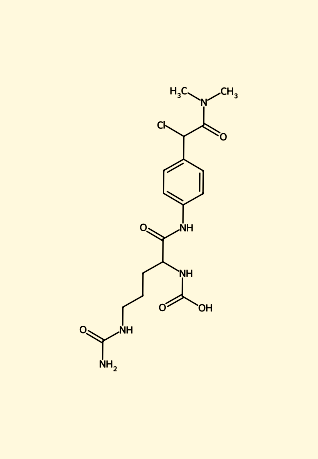 CN(C)C(=O)C(Cl)c1ccc(NC(=O)C(CCCNC(N)=O)NC(=O)O)cc1